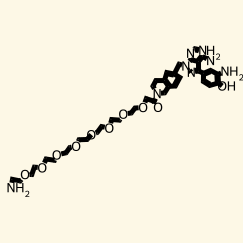 NCCOCCOCCOCCOCCOCCOCCOCCOCC(=O)N1CCc2cc(Cn3nc(-c4ccc(O)c(N)c4)c4c(N)ncnc43)ccc2C1